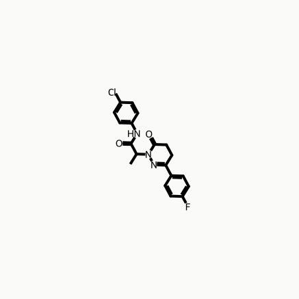 CC(C(=O)Nc1ccc(Cl)cc1)N1N=C(c2ccc(F)cc2)CCC1=O